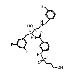 CCc1cccc(CNC[C@@H](O)[C@H](Cc2cc(F)cc(F)c2)NC(=O)c2cccc(NS(=O)(=O)CCCO)c2)c1